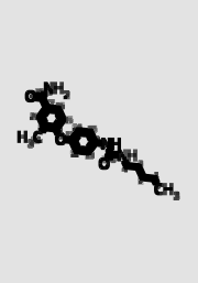 CCCCCNC(=O)Nc1ccc(Oc2ccc(C(N)=O)cc2C)cc1